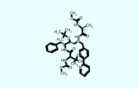 COC(=O)NC(C(=O)N[C@@H](Cc1ccccc1)[C@H](CN(Cc1ccc(-c2ccccn2)cc1)NC(=O)[C@H](C)NC(=O)OC)OC(C)(C)C)C(C)(C)C